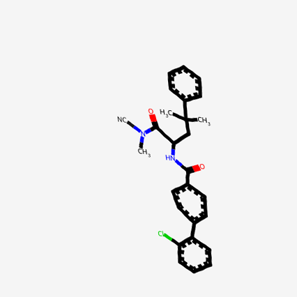 CN(C#N)C(=O)C(CC(C)(C)c1ccccc1)NC(=O)c1ccc(-c2ccccc2Cl)cc1